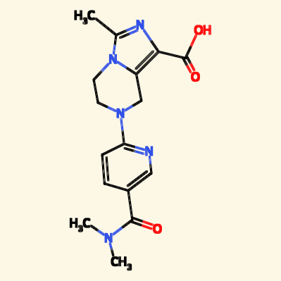 Cc1nc(C(=O)O)c2n1CCN(c1ccc(C(=O)N(C)C)cn1)C2